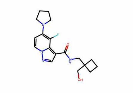 O=C(NCC1(CO)CCC1)c1cnn2ccc(N3CCCC3)c(F)c12